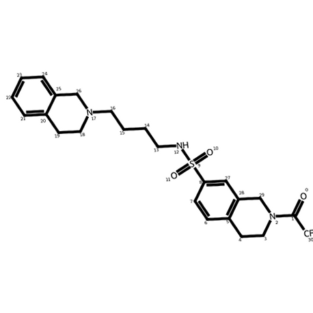 O=C(N1CCc2ccc(S(=O)(=O)NCCCCN3CCc4ccccc4C3)cc2C1)C(F)(F)F